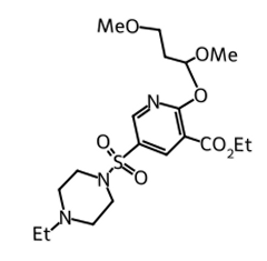 CCOC(=O)c1cc(S(=O)(=O)N2CCN(CC)CC2)cnc1OC(CCOC)OC